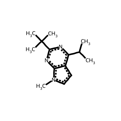 CC(C)c1nc(C(C)(C)C)nc2c1ccn2C